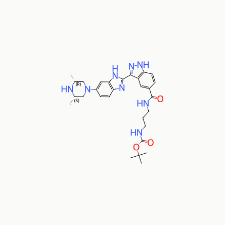 C[C@@H]1CN(c2ccc3nc(-c4n[nH]c5ccc(C(=O)NCCCNC(=O)OC(C)(C)C)cc45)[nH]c3c2)C[C@H](C)N1